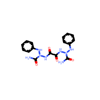 NC(=O)N(NC(=O)C(=O)NN(Nc1ccccc1)C(N)=O)Nc1ccccc1